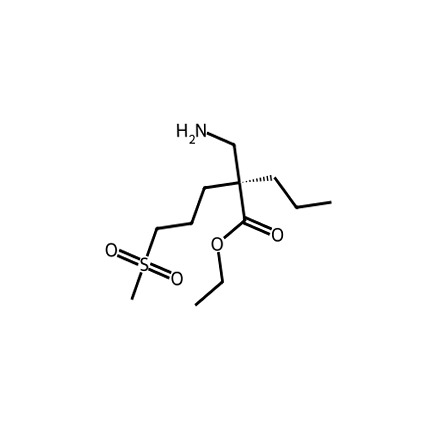 CCC[C@@](CN)(CCCS(C)(=O)=O)C(=O)OCC